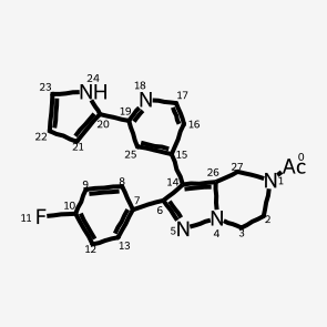 CC(=O)N1CCn2nc(-c3ccc(F)cc3)c(-c3ccnc(-c4ccc[nH]4)c3)c2C1